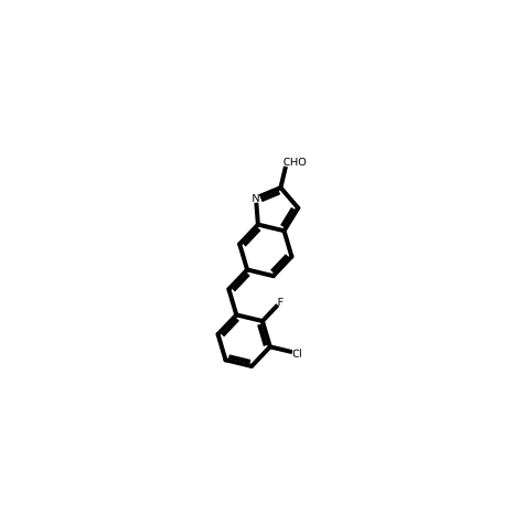 O=CC1=Nc2c/c(=C/c3cccc(Cl)c3F)ccc2=C1